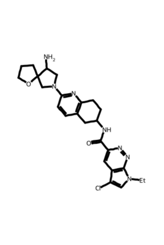 CCn1cc(Cl)c2cc(C(=O)NC3CCc4nc(N5CC(N)C6(CCCO6)C5)ccc4C3)nnc21